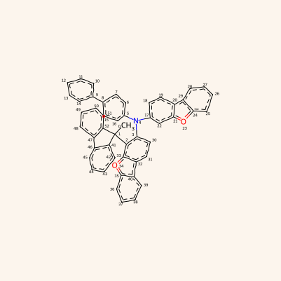 CC1(c2c(N(c3ccc(-c4ccccc4)cc3)c3ccc4c(c3)oc3ccccc34)ccc3c2oc2ccccc23)c2ccccc2-c2ccccc21